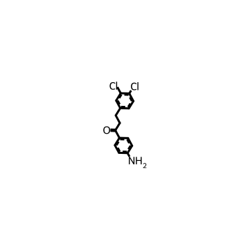 Nc1ccc(C(=O)CCc2ccc(Cl)c(Cl)c2)cc1